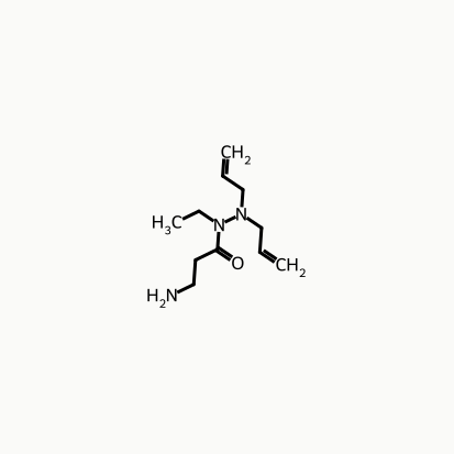 C=CCN(CC=C)N(CC)C(=O)CCN